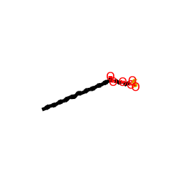 CC#CC#CC#CC#CC#CC#CC#CC#CC#CC#CC(=O)OCCOCCOS(C)(=O)=O